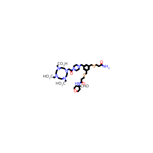 NC(=O)CCSCc1cc(CSCCC(=O)NC2(C=O)CCOCC2)cc(CN2CCN(C(=O)CN3CCN(CC(=O)O)CCN(CC(=O)O)CCN(CC(=O)O)CC3)CC2)c1